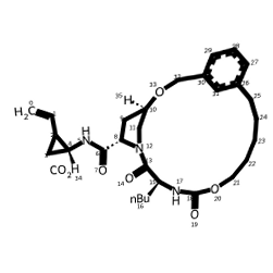 C=CC1C[C@]1(NC(=O)[C@@H]1C[C@@H]2CN1C(=O)[C@H](CCCC)NC(=O)OCCCCCc1cccc(c1)CO2)C(=O)O